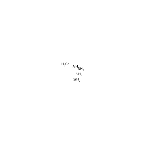 N.[AlH3].[CaH2].[SiH4].[SrH2]